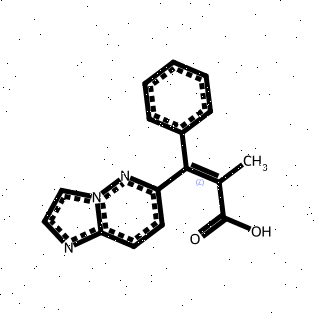 C/C(C(=O)O)=C(\c1ccccc1)c1ccc2nccn2n1